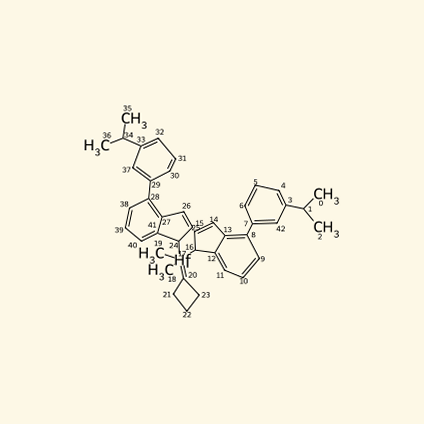 CC(C)c1cccc(-c2cccc3c2C=C[CH]3[Hf]([CH3])([CH3])(=[C]2CCC2)[CH]2C=Cc3c(-c4cccc(C(C)C)c4)cccc32)c1